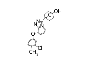 Cc1ccc(Oc2cccn3c(C45CCC(O)(CC4)CC5)nnc23)cc1Cl